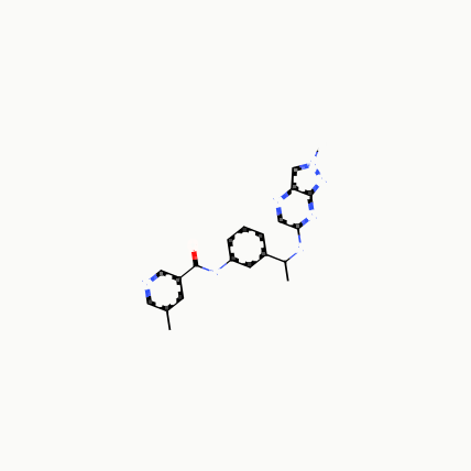 CCn1cc2ncc(NC(C)c3cccc(NC(=O)c4cncc(C)c4)c3)nc2n1